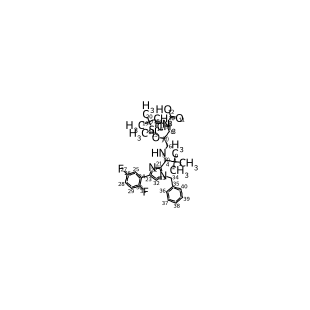 CC(C)(C)[C@@H](NC[C@H](CNC(=O)O)O[Si](C)(C)C(C)(C)C)c1nc(-c2cc(F)ccc2F)cn1Cc1ccccc1